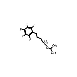 OC(O)O[SiH2]CCCCc1c(F)c(F)c(F)c(F)c1F